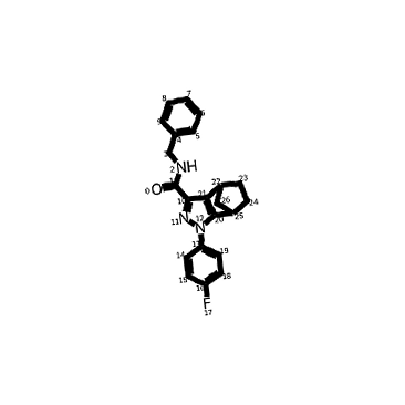 O=C(NCc1ccccc1)c1nn(-c2ccc(F)cc2)c2c1C1CCC2C1